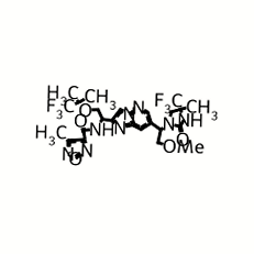 COCC(c1cnn2cc(C(COC(C)(C)C(F)(F)F)NC(=O)c3nonc3C)nc2c1)N1CC(C)(C(F)(F)F)NC1=O